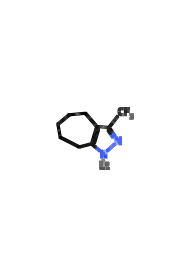 CCn1nc(C(F)(F)F)c2c1CCCCC2